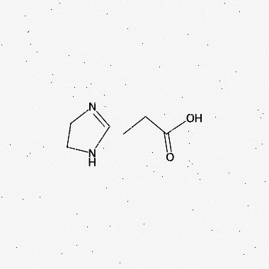 C1=NCCN1.CCC(=O)O